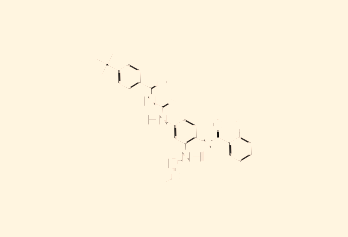 COBNc1cc(NC(=S)NC(=O)c2ccc(C(C)(C)C)cc2)ccc1NC(=O)c1ccccc1Cl